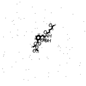 CC(=O)CCCC(=O)N[C@H]1Cc2cccc(C(=O)OC(C)OC(C)=O)c2OB1O